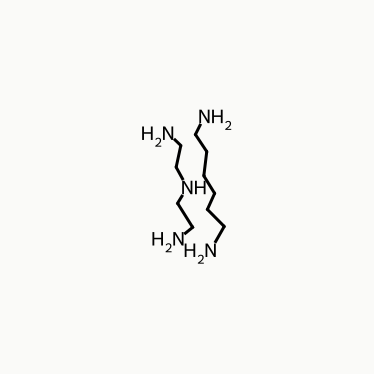 NCCCCCCN.NCCNCCN